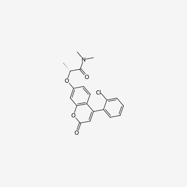 C[C@@H](Oc1ccc2c(-c3ccccc3Cl)cc(=O)oc2c1)C(=O)N(C)C